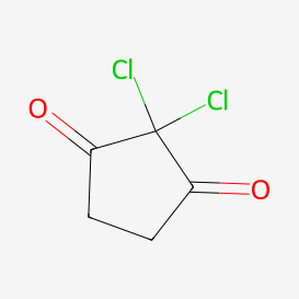 O=C1CCC(=O)C1(Cl)Cl